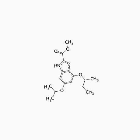 CCC(C)Oc1cc(OC(C)C)cc2[nH]c(C(=O)OC)cc12